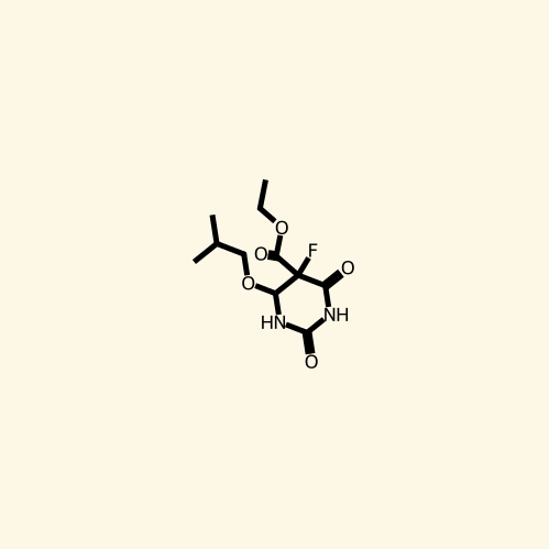 CCOC(=O)C1(F)C(=O)NC(=O)NC1OCC(C)C